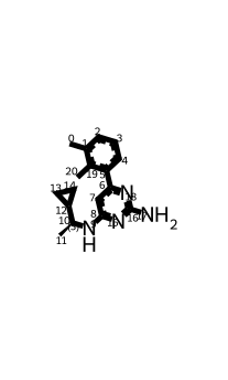 Cc1cccc(-c2cc(N[C@@H](C)C3CC3)nc(N)n2)c1C